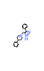 c1ccc(-c2nc[nH]c2CN2CCC(c3ccccc3)CC2)cc1